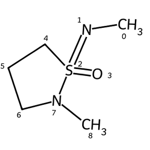 CN=S1(=O)CCCN1C